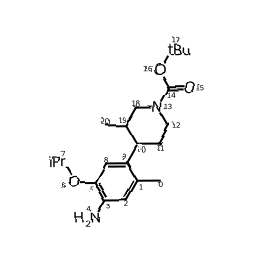 Cc1cc(N)c(OC(C)C)cc1C1CCN(C(=O)OC(C)(C)C)CC1C